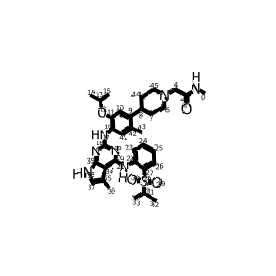 CNC(=O)CN1CCC(c2cc(OC(C)C)c(Nc3nc(Nc4ccccc4S(=O)(=O)C(C)C)c4c(C)c[nH]c4n3)cc2C)CC1